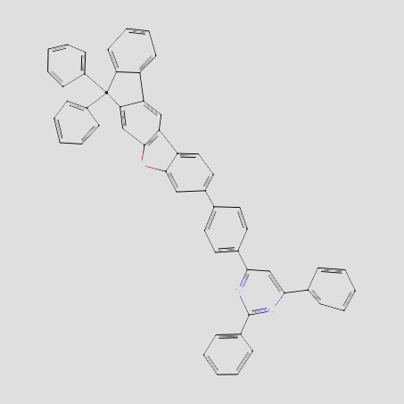 c1ccc(-c2cc(-c3ccc(-c4ccc5c(c4)oc4cc6c(cc45)-c4ccccc4C6(c4ccccc4)c4ccccc4)cc3)nc(-c3ccccc3)n2)cc1